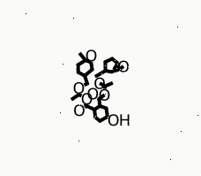 CC(OCC1CCC2(C)OC2C1)OC(=O)C1CCC(O)CC1C(=O)OC(C)OCC1CCC2(C)OC2C1